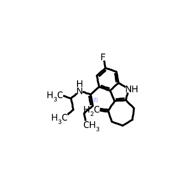 C=C1CCCCc2[nH]c3cc(F)cc(/C(=C/CC)NC(C)CC)c3c21